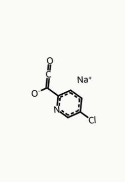 O=C=C([O-])c1ccc(Cl)cn1.[Na+]